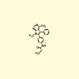 C=CC(=O)Nc1ccc(-c2c(-c3ccccc3)c3c(C)ncnc3n2C)cc1